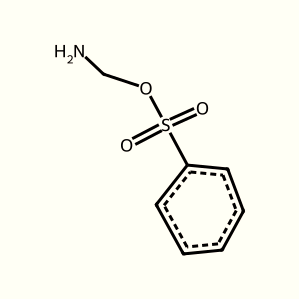 NCOS(=O)(=O)c1ccccc1